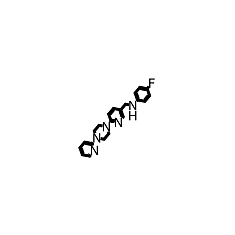 Fc1ccc(NCc2ccc(N3CCN(c4ccccn4)CC3)nc2)cc1